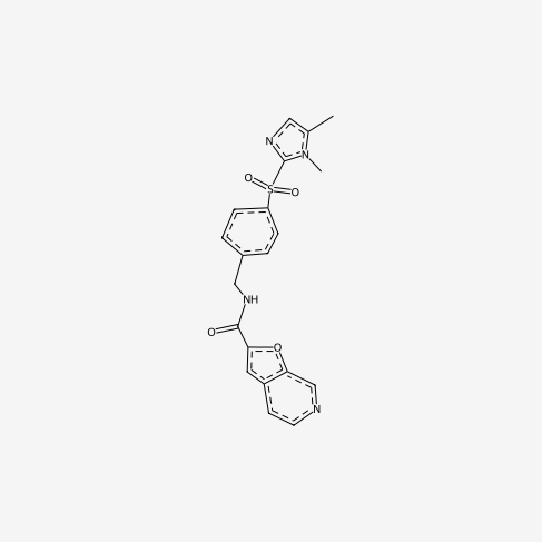 Cc1cnc(S(=O)(=O)c2ccc(CNC(=O)c3cc4ccncc4o3)cc2)n1C